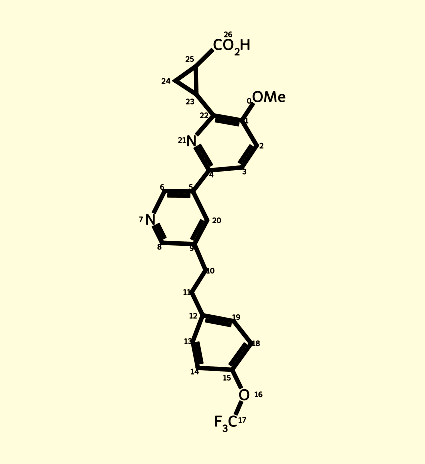 COc1ccc(-c2cncc(CCc3ccc(OC(F)(F)F)cc3)c2)nc1C1CC1C(=O)O